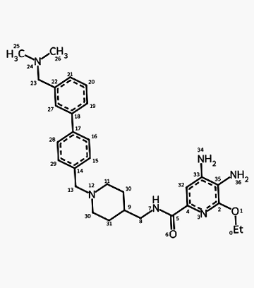 CCOc1nc(C(=O)NCC2CCN(Cc3ccc(-c4cccc(CN(C)C)c4)cc3)CC2)cc(N)c1N